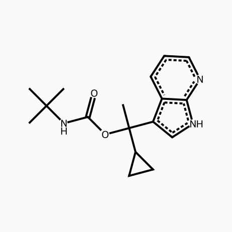 CC(C)(C)NC(=O)OC(C)(c1c[nH]c2ncccc12)C1CC1